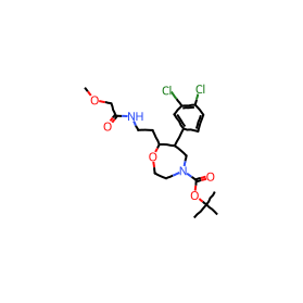 COCC(=O)NCCC1OCCN(C(=O)OC(C)(C)C)CC1c1ccc(Cl)c(Cl)c1